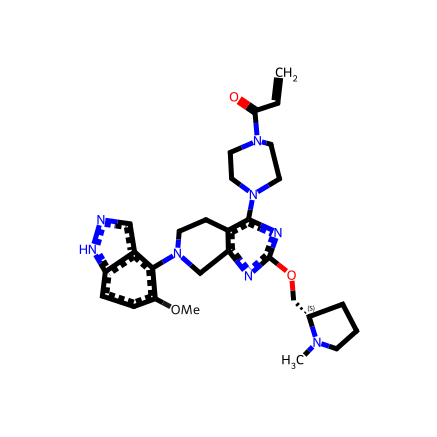 C=CC(=O)N1CCN(c2nc(OC[C@@H]3CCCN3C)nc3c2CCN(c2c(OC)ccc4[nH]ncc24)C3)CC1